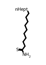 CCCCCCCCCCCCCCCCC(N)=S